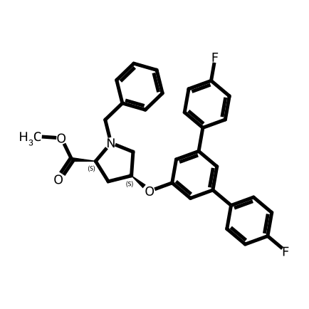 COC(=O)[C@@H]1C[C@H](Oc2cc(-c3ccc(F)cc3)cc(-c3ccc(F)cc3)c2)CN1Cc1ccccc1